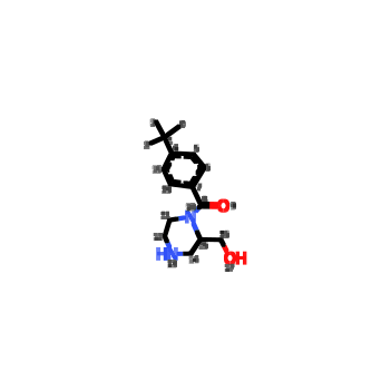 CC(C)(C)c1ccc(C(=O)N2CCNCC2CO)cc1